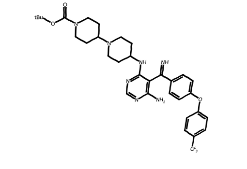 CC(C)(C)OC(=O)N1CCC(N2CCC(Nc3ncnc(N)c3C(=N)c3ccc(Oc4ccc(C(F)(F)F)cc4)cc3)CC2)CC1